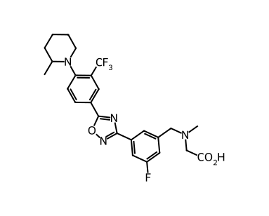 CC1CCCCN1c1ccc(-c2nc(-c3cc(F)cc(CN(C)CC(=O)O)c3)no2)cc1C(F)(F)F